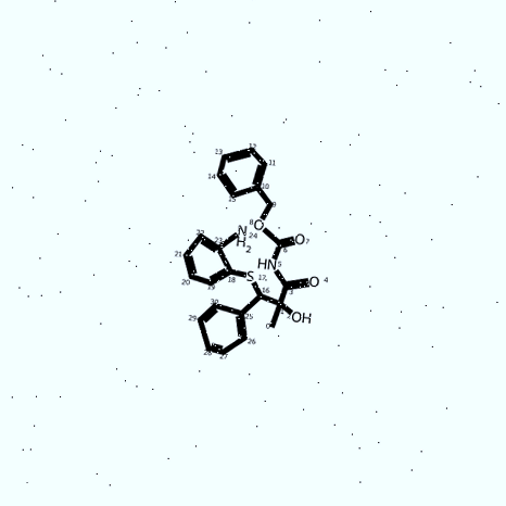 CC(O)(C(=O)NC(=O)OCc1ccccc1)C(Sc1ccccc1N)c1ccccc1